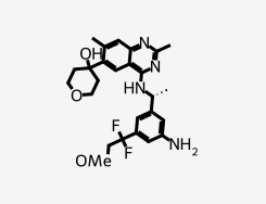 COCC(F)(F)c1cc(N)cc([C@@H](C)Nc2nc(C)nc3cc(C)c(C4(O)CCOCC4)cc23)c1